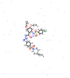 COc1cc(NS(=O)(=O)c2ccc(Cl)cc2)c(C(=O)N=[N+]=Nc2ccc(S(=O)(=O)N3CCC(C)CC3)cc2)cc1OC